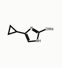 COc1nc(C2CC2)c[nH]1